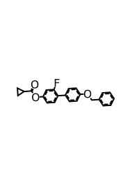 O=C(Oc1ccc(-c2ccc(OCc3ccccc3)cc2)c(F)c1)C1CC1